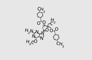 C=C[C@]1(COC(=O)c2ccc(C)cc2)O[C@@H](n2cnc3c(OC)nc(N)nc32)C[C@@H]1OC(=O)c1ccc(C)cc1